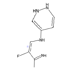 CC(=N)/C(F)=C\NC1=CNNC=C1